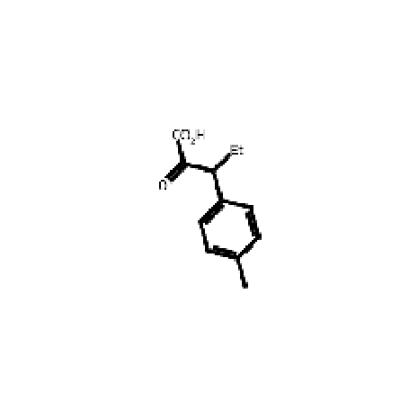 CCC(C(=O)C(=O)O)c1ccc(C)cc1